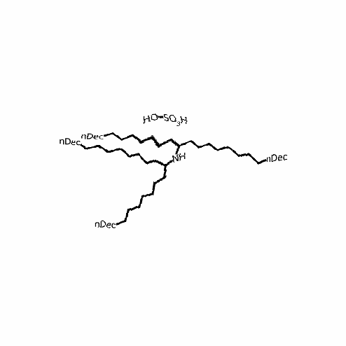 CCCCCCCCCCCCCCCCCCC(CCCCCCCCCCCCCCCCC)NC(CCCCCCCCCCCCCCCCC)CCCCCCCCCCCCCCCCCC.O=S(=O)(O)O